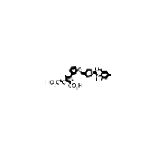 Cc1cc(C)c(NC(=O)N2CCC(COc3cccc(-c4sc(C(=O)O)c(OCC(=O)O)c4C)c3)CC2)c(C)c1